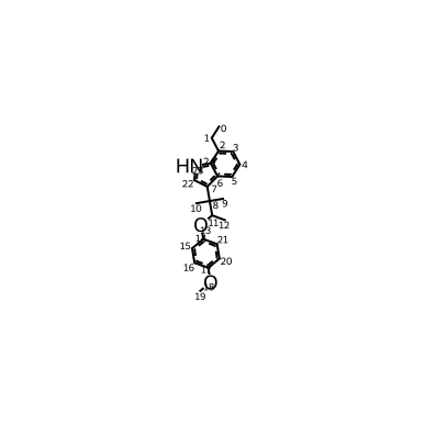 CCc1cccc2c(C(C)(C)C(C)Oc3ccc(OC)cc3)c[nH]c12